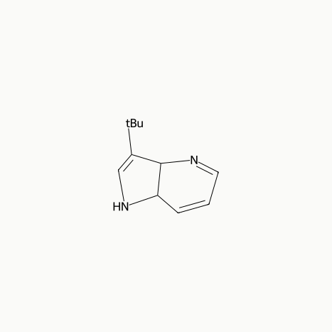 CC(C)(C)C1=CNC2C=CC=NC12